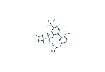 COc1ccc(CC(=O)O)cc1-c1ccc(C(F)(F)F)cc1CS(=O)(=O)c1nnc(C)s1